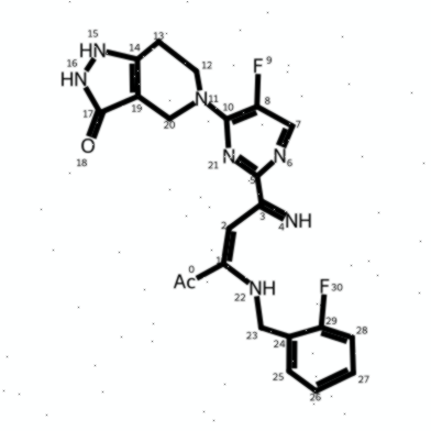 CC(=O)/C(=C/C(=N)c1ncc(F)c(N2CCc3[nH][nH]c(=O)c3C2)n1)NCc1ccccc1F